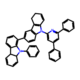 C1=CC2c3cccc(-c4ccc5c(c4)c4c(n5-c5cc(-c6ccccc6)cc(-c6ccccc6)n5)C=CCC4)c3N(c3ccccc3)C2C=C1